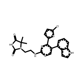 CC1(C)C(=O)NC(=O)N1CCNc1ncc(-c2cccc3[nH]ccc23)c(-c2ccc(Cl)s2)n1